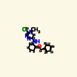 CN1CC(N[C@@H]2CCCC[C@H]2OCc2ccccc2)=NN=C1Cl